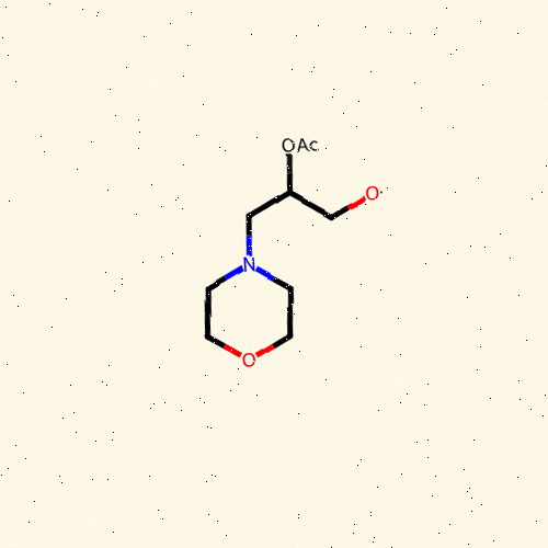 CC(=O)OC(C[O])CN1CCOCC1